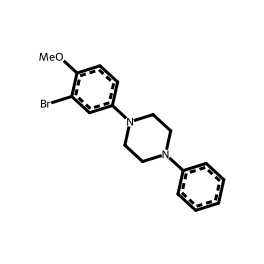 COc1ccc(N2CCN(c3ccccc3)CC2)cc1Br